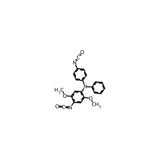 COc1cc(N(c2ccccc2)c2ccc(N=C=O)cc2)c(OC)cc1N=C=O